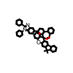 CC1(C)c2ccccc2-c2cc3c(cc21)Oc1ccccc1C31c2ccccc2-c2ccccc2-c2ccc(-c3ccc4c(c3)nc(-c3ccccc3)n4-c3ccccc3)cc21